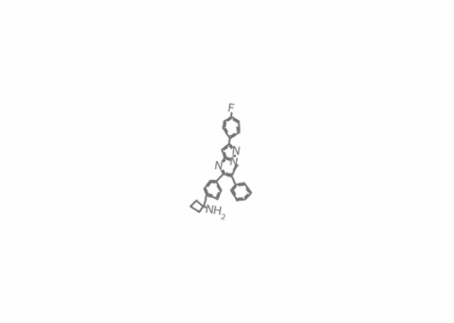 NC1(c2ccc(-c3nc4cc(-c5ccc(F)cc5)nn4cc3-c3ccccc3)cc2)CCC1